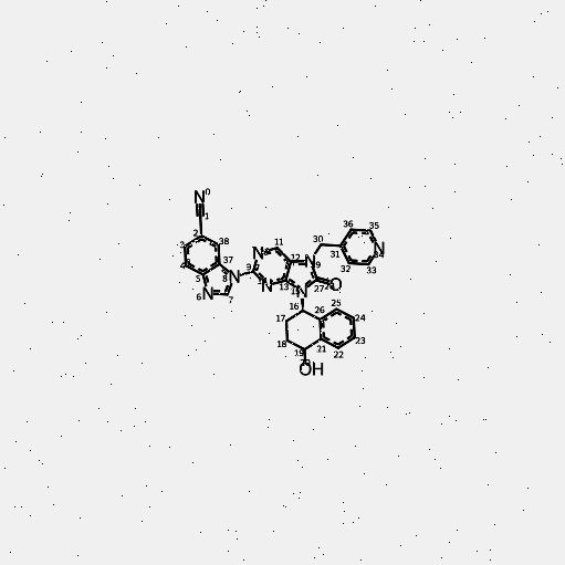 N#Cc1ccc2ncn(-c3ncc4c(n3)n([C@@H]3CCC(O)c5ccccc53)c(=O)n4Cc3ccncc3)c2c1